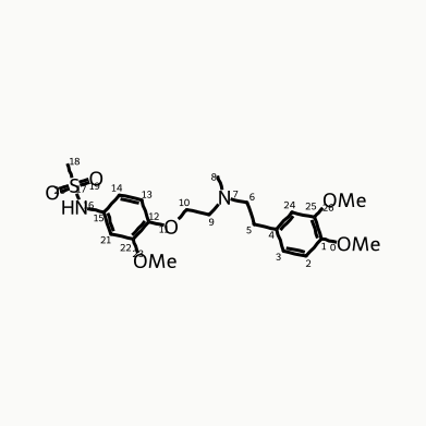 COc1ccc(CCN(C)CCOc2ccc(NS(C)(=O)=O)cc2OC)cc1OC